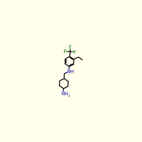 CCc1cc(NCC2CCC(N)CC2)ccc1C(F)(F)F